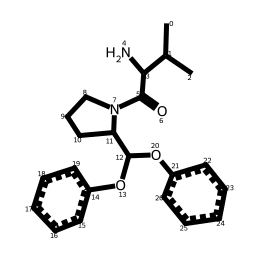 CC(C)C(N)C(=O)N1CCCC1C(Oc1ccccc1)Oc1ccccc1